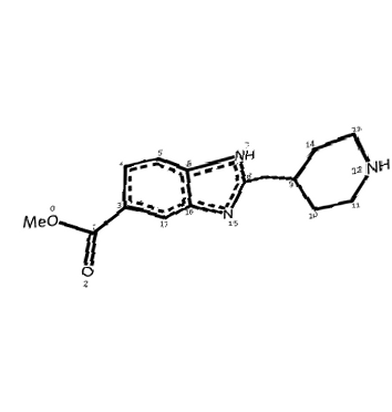 COC(=O)c1ccc2[nH]c(C3CCNCC3)nc2c1